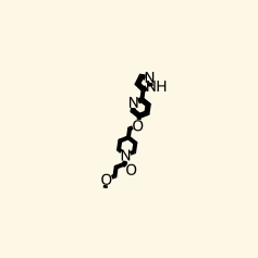 COCCC(=O)N1CCC(COc2ccc(-c3ccn[nH]3)nc2)CC1